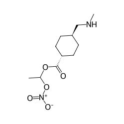 CNC[C@H]1CC[C@H](C(=O)OC(C)O[N+](=O)[O-])CC1